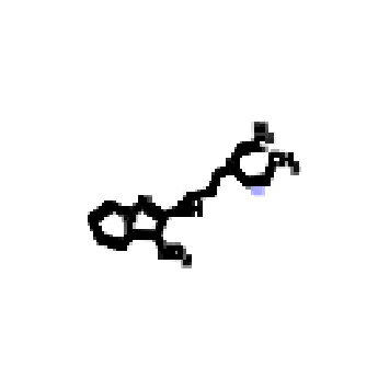 C=CN(/C=C\C)CCCNc1nn2ccccc2c1[N+](=O)[O-]